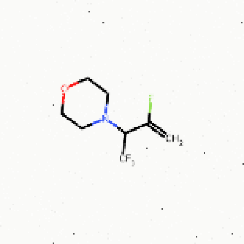 C=C(F)C(N1CCOCC1)C(F)(F)F